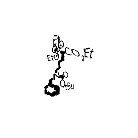 CCOC(=O)C(CCCCN(Cc1ccccc1)C(=O)OC(C)(C)C)P(=O)(OCC)OCC